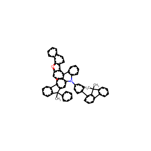 CC1(C)c2ccccc2-c2cccc(-c3ccc(N(c4ccc5c(c4)C(C)(c4ccccc4)c4ccccc4-5)c4ccccc4-c4cccc5oc6c7ccccc7ccc6c45)cc3)c21